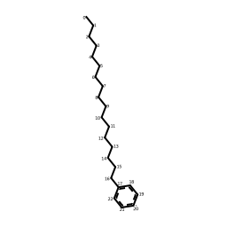 CCCCCCCCCCCCCCCCCc1cc[c]cc1